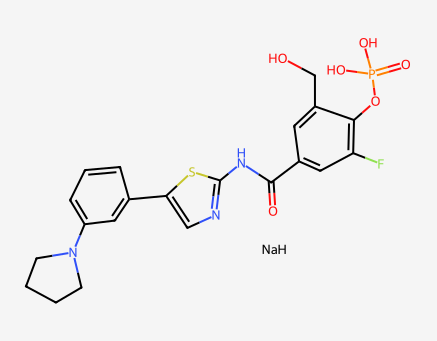 O=C(Nc1ncc(-c2cccc(N3CCCC3)c2)s1)c1cc(F)c(OP(=O)(O)O)c(CO)c1.[NaH]